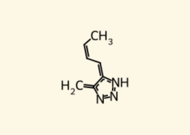 C=c1nn[nH]/c1=C/C=C\C